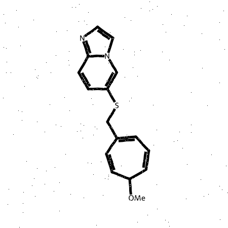 COC1C=CC=C(CSc2ccc3nccn3c2)C=C1